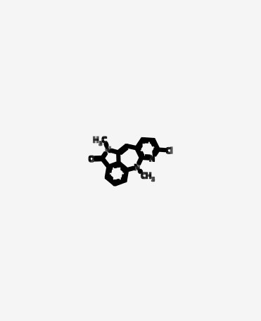 CN1C(=O)c2cccc3c2C1=Cc1ccc(Cl)nc1N3C